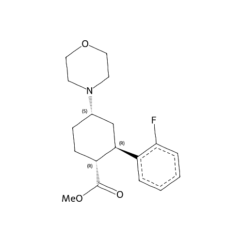 COC(=O)[C@@H]1CC[C@H](N2CCOCC2)C[C@H]1c1ccccc1F